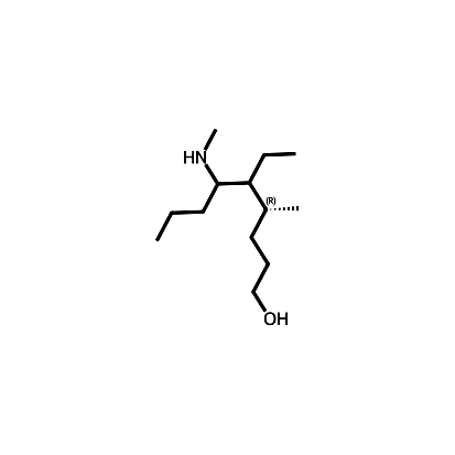 CCCC(NC)C(CC)[C@H](C)CCCO